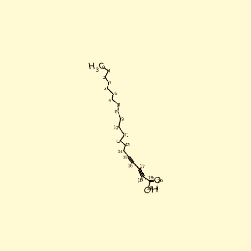 CCCCCCCCCCCCCCCC#CC#CC(=O)O